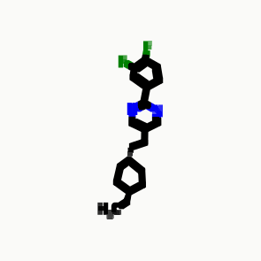 CC[C@H]1CC[C@H](CCc2cnc(-c3ccc(F)c(F)c3)nc2)CC1